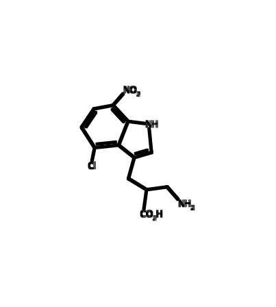 NCC(Cc1c[nH]c2c([N+](=O)[O-])ccc(Cl)c12)C(=O)O